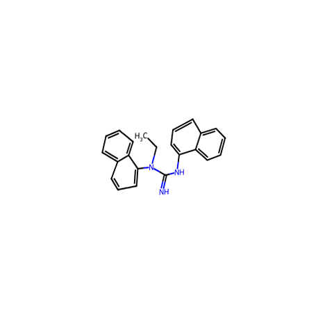 CCN(C(=N)Nc1cccc2ccccc12)c1cccc2ccccc12